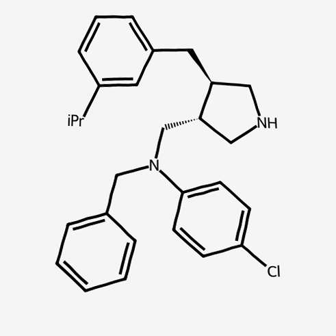 CC(C)c1cccc(C[C@H]2CNC[C@@H]2CN(Cc2ccccc2)c2ccc(Cl)cc2)c1